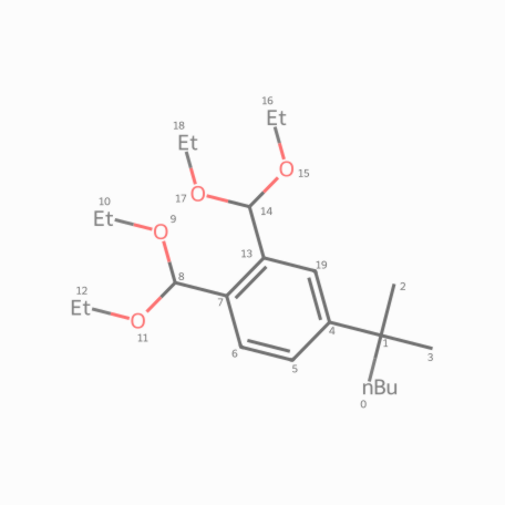 CCCCC(C)(C)c1ccc(C(OCC)OCC)c(C(OCC)OCC)c1